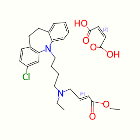 CCOC(=O)/C=C/CN(CC)CCCCN1c2ccccc2CCc2ccc(Cl)cc21.O=C(O)/C=C\C(=O)O